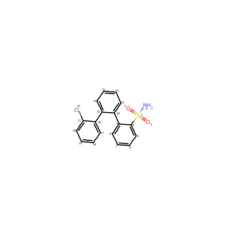 NS(=O)(=O)c1ccccc1-c1ccccc1-c1ccccc1Cl